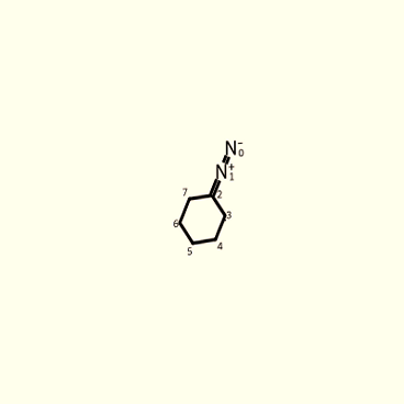 [N-]=[N+]=C1[CH]CCCC1